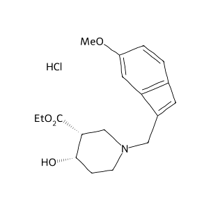 CCOC(=O)[C@@H]1CN(CC2=Cc3ccc(OC)cc32)CC[C@@H]1O.Cl